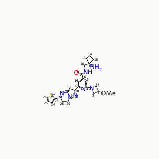 COC1CN(c2cc(C(=O)NCC3(N)CCC3)cc(-c3cc4nc(-c5cccs5)ccn4n3)n2)C1